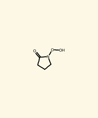 O=C1CCCN1OO